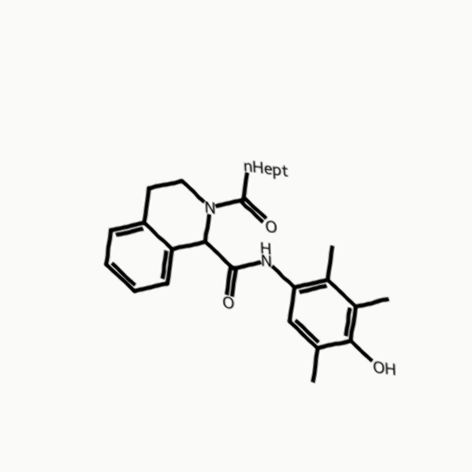 CCCCCCCC(=O)N1CCc2ccccc2C1C(=O)Nc1cc(C)c(O)c(C)c1C